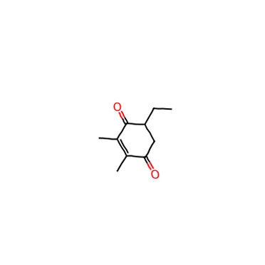 CCC1CC(=O)C(C)=C(C)C1=O